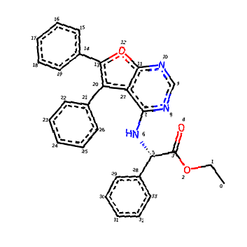 CCOC(=O)[C@@H](Nc1ncnc2oc(-c3ccccc3)c(-c3ccccc3)c12)c1ccccc1